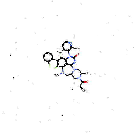 C=CC(=O)N1CC2CN(C)c3c(F)c(-c4ccccc4F)c(F)c4c3c(nc(=O)n4-c3c(C)ccnc3C(C)C)N2CC1C